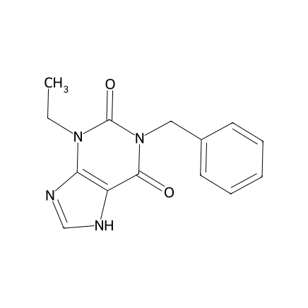 CCn1c(=O)n(Cc2ccccc2)c(=O)c2[nH]cnc21